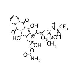 C[C@@H]1O[C@@H](O[C@H]2C[C@](O)(COC(N)=O)Cc3c(O)c4c(c(O)c32)C(=O)c2ccccc2C4=O)C[C@H](NC(=O)C(F)(F)F)[C@H]1O